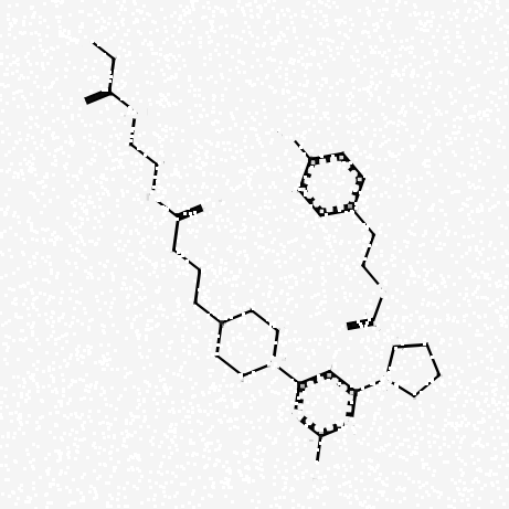 N#Cc1ccc(CCNC(=O)[C@@H]2CCCN2c2cc(N3CCC(CCCC(=O)NCCNC(=O)CS(=O)(=O)O)CC3)nc(C(F)(F)F)n2)cc1